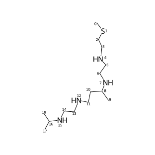 CSCCNCCNC(C)CCNCCNC(C)C